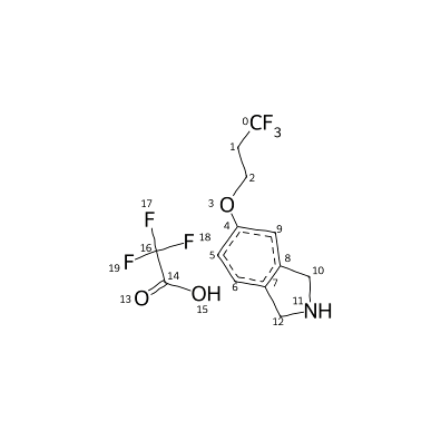 FC(F)(F)CCOc1ccc2c(c1)CNC2.O=C(O)C(F)(F)F